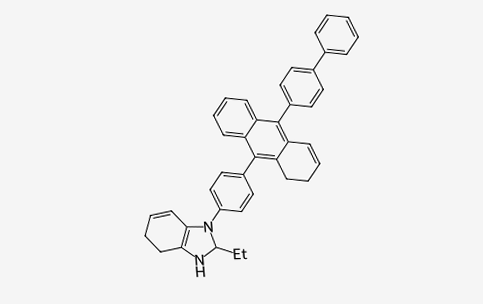 CCC1NC2=C(C=CCC2)N1c1ccc(-c2c3c(c(-c4ccc(-c5ccccc5)cc4)c4ccccc24)C=CCC3)cc1